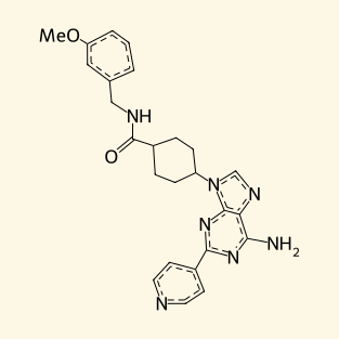 COc1cccc(CNC(=O)C2CCC(n3cnc4c(N)nc(-c5ccncc5)nc43)CC2)c1